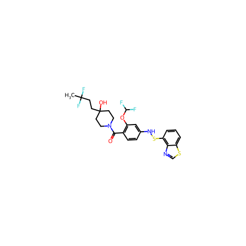 CC(F)(F)CCC1(O)CCN(C(=O)c2ccc(NSc3cccc4scnc34)cc2OC(F)F)CC1